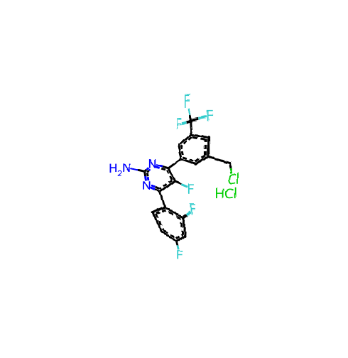 Cl.Nc1nc(-c2cc(CCl)cc(C(F)(F)F)c2)c(F)c(-c2ccc(F)cc2F)n1